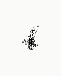 CCCc1ccc(-c2ccc(N(CC(N)C(C)CC)C(=O)NC(COC)c3ccccc3)cc2)cc1